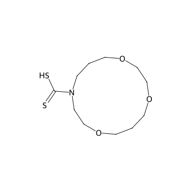 S=C(S)N1CCCOCCOCCCOCC1